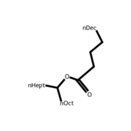 CCCCCCCCCCCCCC(=O)OC(CCCCCCC)CCCCCCCC